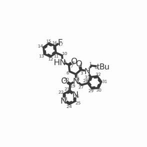 CC(C)(C)CN1C(=O)C(CC(=O)NCc2ccccc2F)N(C(=O)c2cnccn2)Cc2ccccc21